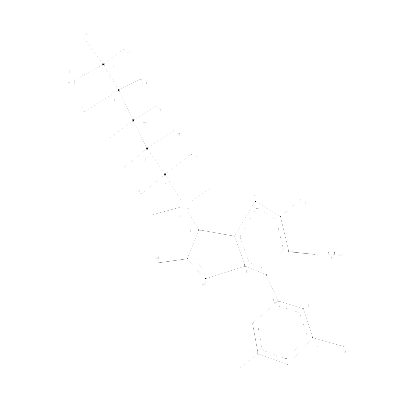 COc1c(C)cc2c(c1-c1cc(C)cc(C)c1)C=C(C)C2[Si](C)(C)C(C)(C)C(C)(C)C(C)(C)C(C)(C)C(C)(C)C(C)(C)C